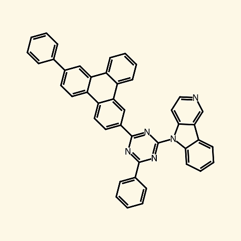 c1ccc(-c2ccc3c4ccc(-c5nc(-c6ccccc6)nc(-n6c7ccccc7c7cnccc76)n5)cc4c4ccccc4c3c2)cc1